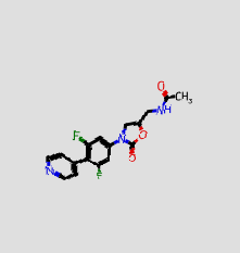 CC(=O)NCC1CN(c2cc(F)c(-c3ccncc3)c(F)c2)C(=O)O1